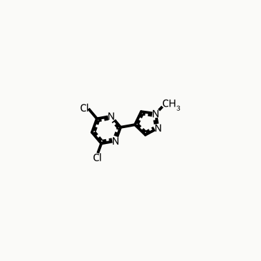 Cn1cc(-c2nc(Cl)cc(Cl)n2)cn1